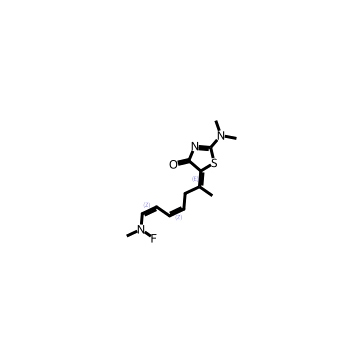 C/C(C/C=C\C=C/N(C)F)=C1\SC(N(C)C)=NC1=O